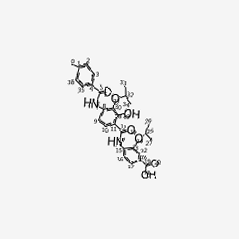 Cc1ccc(C(=O)Nc2ccc(C(=O)Nc3ccc(C(=O)O)cc3OC(C)C)c(O)c2OC(C)C)cc1